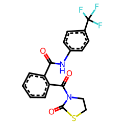 O=C(Nc1ccc(C(F)(F)F)cc1)c1ccccc1C(=O)N1CCSC1=O